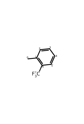 Cc1ccc[c]c1C(F)(F)F